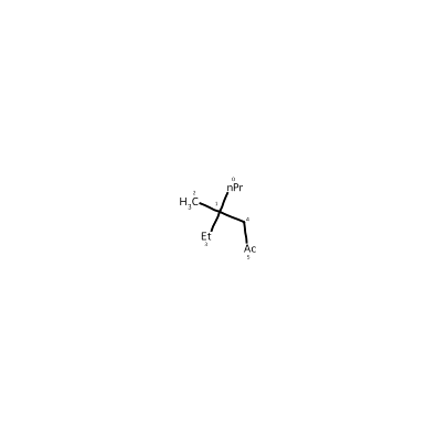 CCCC(C)(CC)CC(C)=O